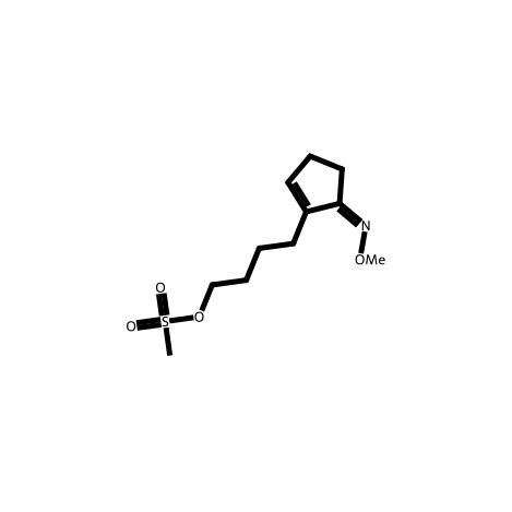 CON=C1CCC=C1CCCCOS(C)(=O)=O